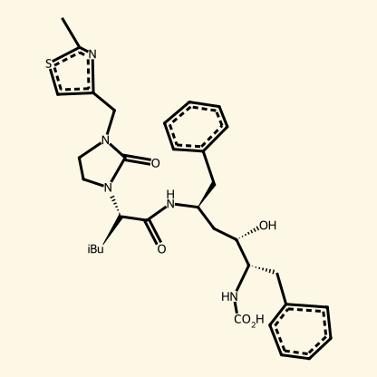 CC[C@H](C)[C@@H](C(=O)N[C@@H](Cc1ccccc1)C[C@H](O)[C@H](Cc1ccccc1)NC(=O)O)N1CCN(Cc2csc(C)n2)C1=O